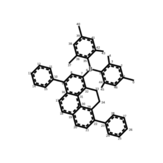 Cc1cc(C)c(B(c2cc(-c3ccccc3)c3ccc4ccc(-c5ccccc5)c5c4c3c2CC5)c2c(C)cc(C)cc2C)c(C)c1